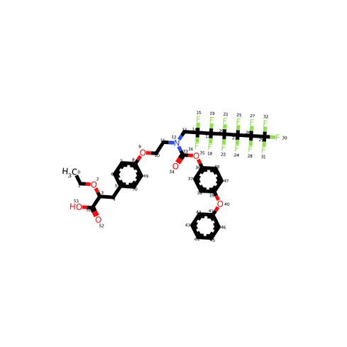 CCOC(Cc1ccc(OCCN(CC(F)(F)C(F)(F)C(F)(F)C(F)(F)C(F)(F)C(F)(F)F)C(=O)Oc2ccc(Oc3ccccc3)cc2)cc1)C(=O)O